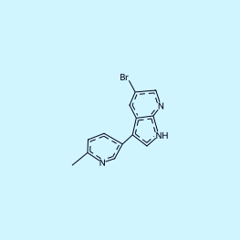 Cc1ccc(-c2c[nH]c3ncc(Br)cc23)cn1